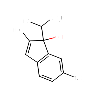 CC1=Cc2ccc([N+](=O)[O-])cc2C1(O)C(C)C(=O)O